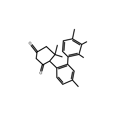 Cc1ccc(C2C(=O)CC(=O)CC2(C)C)c(-c2ccc(C)c(C)c2C)c1